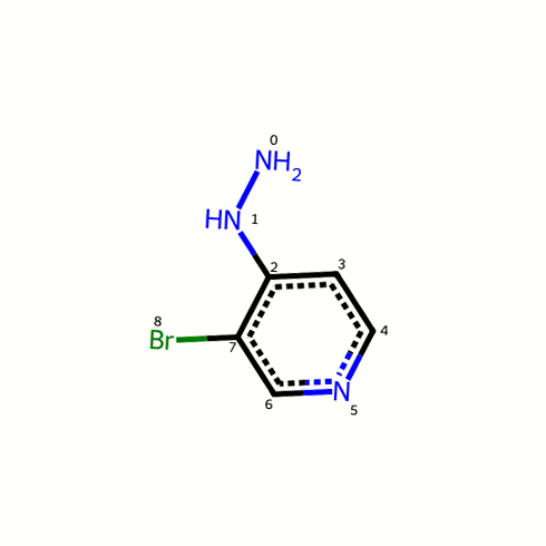 NNc1ccncc1Br